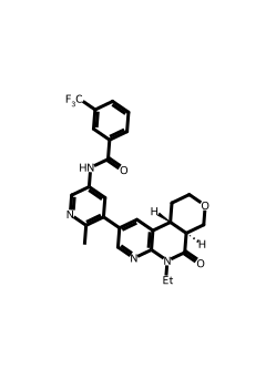 CCN1C(=O)[C@@H]2COCC[C@H]2c2cc(-c3cc(NC(=O)c4cccc(C(F)(F)F)c4)cnc3C)cnc21